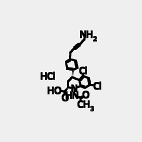 CC(=O)NN1c2cc(Cl)cc(Cl)c2[C@@H](c2ccc(CC#CCN)cc2)C[C@@H]1C(=O)O.Cl